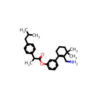 CC(C)Cc1ccc(C(C)C(=O)Oc2cccc(C3=C(CN)C(C)(C)CCC3)c2)cc1